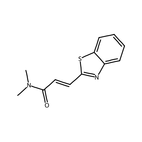 CN(C)C(=O)C=Cc1nc2ccccc2s1